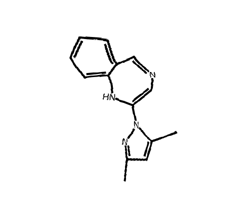 Cc1cc(C)n(C2=CN=Cc3ccccc3N2)n1